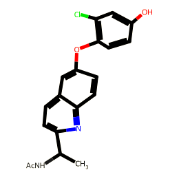 CC(=O)NC(C)c1ccc2cc(Oc3ccc(O)cc3Cl)ccc2n1